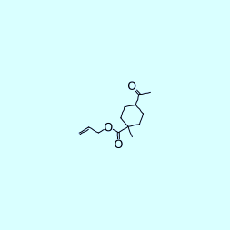 C=CCOC(=O)C1(C)CCC(C(C)=O)CC1